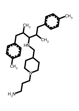 Cc1ccc(CC(C)C(NCC2CCN(CCCN)CC2)C(C)Cc2ccc(C)cc2)cc1